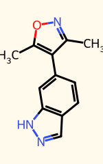 Cc1noc(C)c1-c1ccc2cn[nH]c2c1